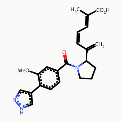 C=C(/C=C\C=C(/C)C(=O)O)[C@H]1CCCN1C(=O)c1ccc(-c2cn[nH]c2)c(OC)c1